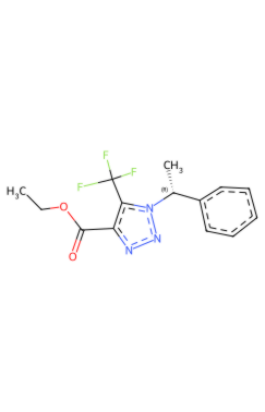 CCOC(=O)c1nnn([C@H](C)c2ccccc2)c1C(F)(F)F